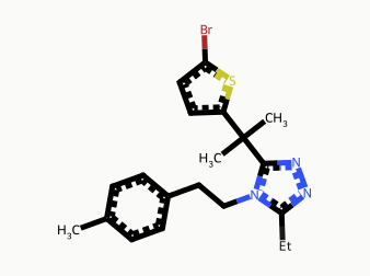 CCc1nnc(C(C)(C)c2ccc(Br)s2)n1CCc1ccc(C)cc1